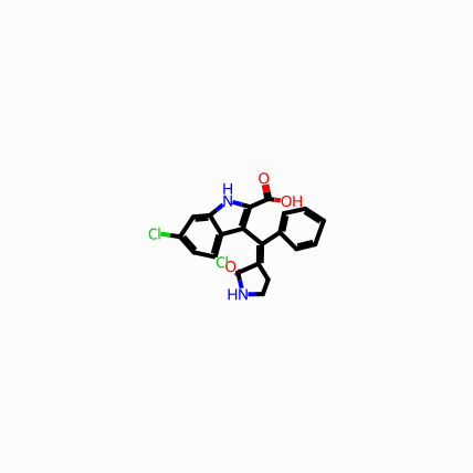 O=C1NCCC1=C(c1ccccc1)c1c(C(=O)O)[nH]c2cc(Cl)cc(Cl)c12